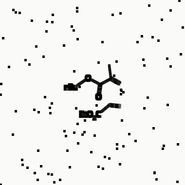 C=C(C)C(=O)OCCCC.C=CC(=O)OCC